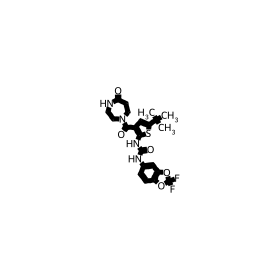 CC(C)(C)c1cc(C(=O)N2CCNC(=O)CC2)c(NC(=O)Nc2ccc3c(c2)OC(F)(F)O3)s1